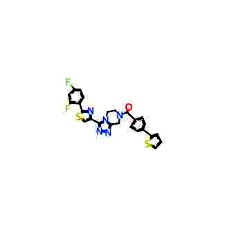 O=C(c1ccc(-c2cccs2)cc1)N1CCn2c(nnc2-c2csc(-c3ccc(F)cc3F)n2)C1